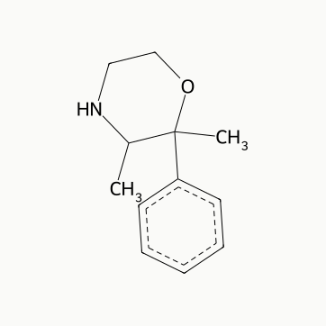 CC1NCCOC1(C)c1ccccc1